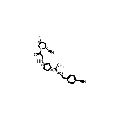 C/C(=N\OCc1ccc(C#N)cc1)[C@H]1CC[C@@H](NCC(=O)N2C[C@@H](F)C[C@H]2C#N)C1